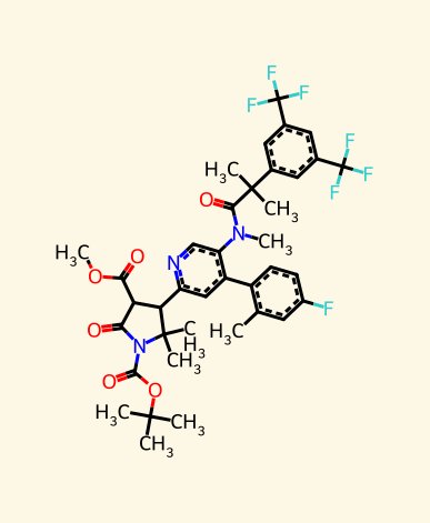 COC(=O)C1C(=O)N(C(=O)OC(C)(C)C)C(C)(C)C1c1cc(-c2ccc(F)cc2C)c(N(C)C(=O)C(C)(C)c2cc(C(F)(F)F)cc(C(F)(F)F)c2)cn1